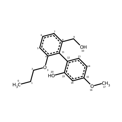 CCCOc1cccc(CO)c1-c1ccc(OC)cc1O